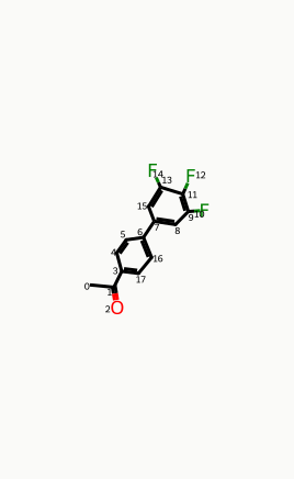 CC(=O)c1ccc(-c2cc(F)c(F)c(F)c2)cc1